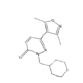 Cc1noc(C)c1-c1ccc(=O)n(CC2CCOCC2)n1